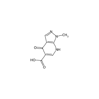 Cn1ncc2c(=O)c(C(=O)O)c[nH]c21